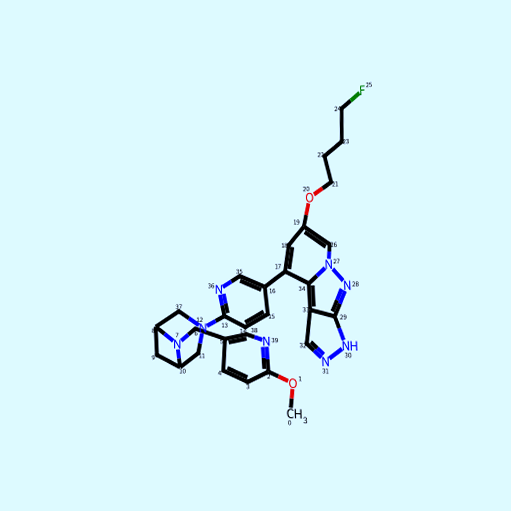 COc1ccc(CN2C3CC2CN(c2ccc(-c4cc(OCCCCF)cn5nc6[nH]ncc6c45)cn2)C3)cn1